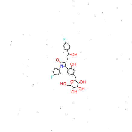 O=C1[C@H](CC[C@H](O)c2ccc(F)cc2)[C@@H](c2ccc(C[C@@H]3OC(CO)[C@@H](O)C(O)[C@@H]3O)cc2O)N1c1ccc(F)cc1